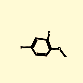 [CH2]Oc1ccc(F)cc1F